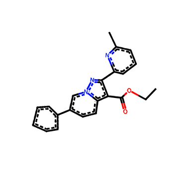 CCOC(=O)c1c(-c2cccc(C)n2)nn2cc(-c3ccccc3)ccc12